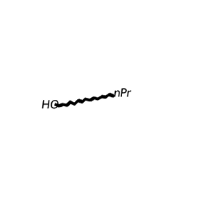 CCCC=CC=CCC=CCC=CCC=CC=CO